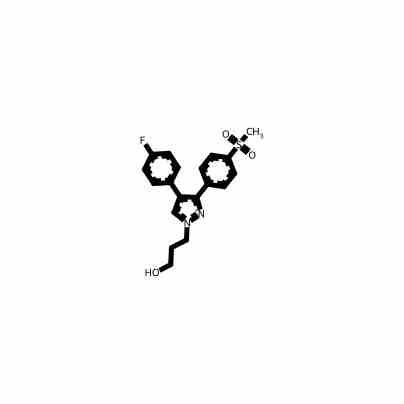 CS(=O)(=O)c1ccc(-c2nn(CCCO)cc2-c2ccc(F)cc2)cc1